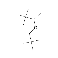 CC(OCC(C)(C)C)C(C)(C)C